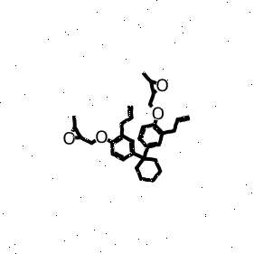 C=CCc1cc(C2(c3ccc(OCC4OC4C)c(CC=C)c3)CCCCC2)ccc1OCC1OC1C